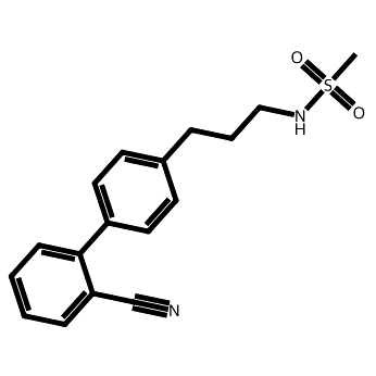 CS(=O)(=O)NCCCc1ccc(-c2ccccc2C#N)cc1